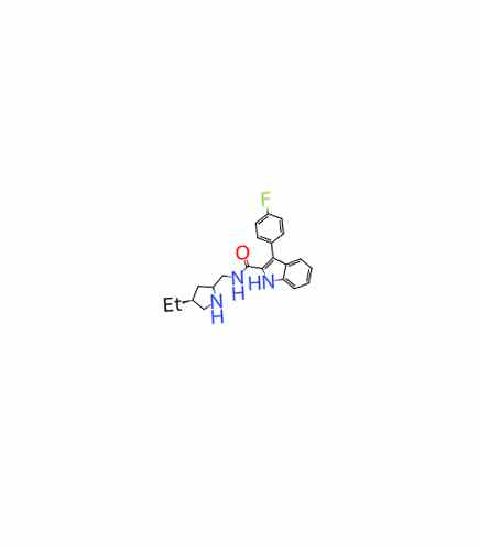 CC[C@@H]1CNC(CNC(=O)c2[nH]c3ccccc3c2-c2ccc(F)cc2)C1